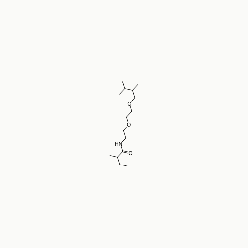 CCC(C)C(=O)NCCOCCOCC(C)C(C)C